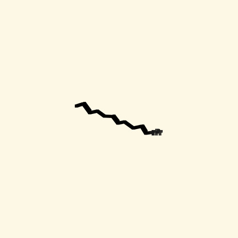 [CH2]CCC=CCCC=CCCC=CC